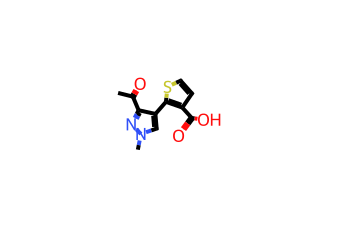 CC(=O)c1nn(C)cc1-c1sccc1C(=O)O